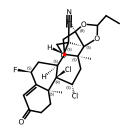 CCC1O[C@@H]2C[C@H]3[C@@H]4C[C@H](F)C5=CC(=O)CC[C@]5(C)[C@@]4(Cl)[C@@H](Cl)C[C@]3(C)[C@]2(C2(C#N)CO2)O1